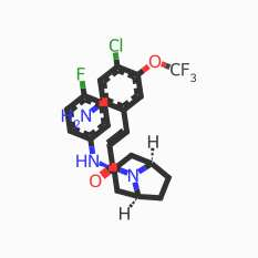 Nc1cc(Cl)c(OC(F)(F)F)cc1/C=C/C(=O)N1[C@@H]2CC[C@H]1C[C@@H](Nc1ccc(F)cc1)C2